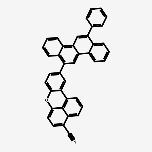 N#Cc1ccc2c3c(cccc13)-c1cc(-c3cc4c5ccccc5c(-c5ccccc5)cc4c4ccccc34)ccc1O2